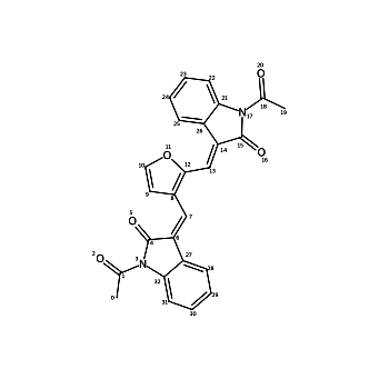 CC(=O)N1C(=O)C(=Cc2ccoc2/C=C2/C(=O)N(C(C)=O)c3ccccc32)c2ccccc21